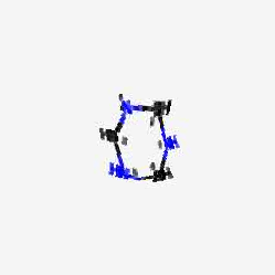 B1[N]BNBN1